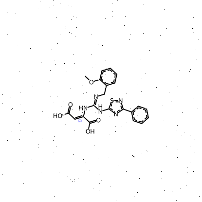 COc1ccccc1CN=C(N/C(=C\C(=O)O)C(=O)O)Nc1nc(-c2ccccc2)ns1